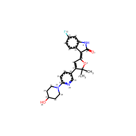 CC1(C)OC(=C2C(=O)Nc3cc(F)ccc32)C=C1c1ccc(N2CCC(O)CC2)nc1